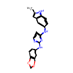 Cc1cc2cc(Nc3ccnc(Nc4ccc5c(c4)OCO5)n3)ccc2[nH]1